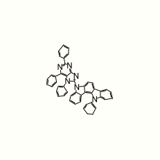 C1=CC(n2c3ccccc3c3ccc4c(c5ccccc5n4-c4nc5nc(-c6ccccc6)nc(-c6ccccc6)c5n4-c4ccccc4)c32)=CCC1